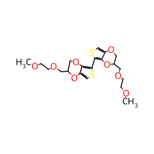 COCCOCC1COc2c(csc2-c2scc3c2OC(COCCOC)CO3)O1